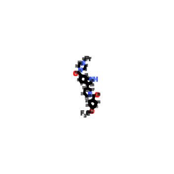 CC(C)N1CCN(C(=O)c2ccc3c(C4CCCN(C(=O)c5ccc(OC(F)(F)F)cc5)C4)c[nH]c3c2)CC1